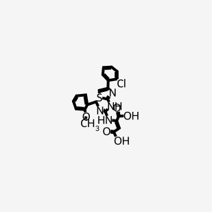 COc1ccccc1CN=C(N/C(=C\C(=O)O)C(=O)O)Nc1nc(-c2ccccc2Cl)cs1